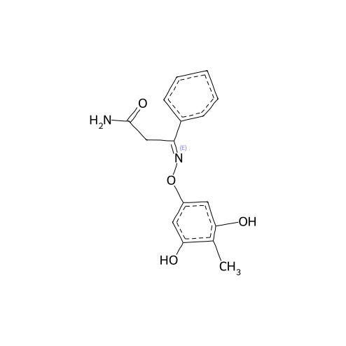 Cc1c(O)cc(O/N=C(\CC(N)=O)c2ccccc2)cc1O